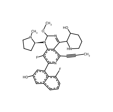 CC#Cc1nc(-c2cc(O)cc3cccc(F)c23)c(F)c2c1C(C1NCCCC1O)=NC(OC)N2[C@H]1CCCN1C